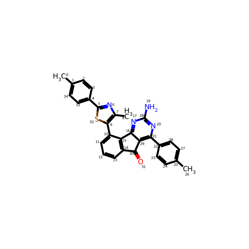 Cc1ccc(-c2nc(C)c(-c3cccc4c3-c3nc(N)nc(-c5ccc(C)cc5)c3C4=O)s2)cc1